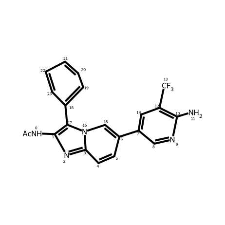 CC(=O)Nc1nc2ccc(-c3cnc(N)c(C(F)(F)F)c3)cn2c1-c1ccccc1